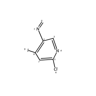 C=Nc1cnc(Cl)cc1I